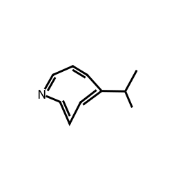 CC(C)C1=C\C=C\N=C/C=C\1